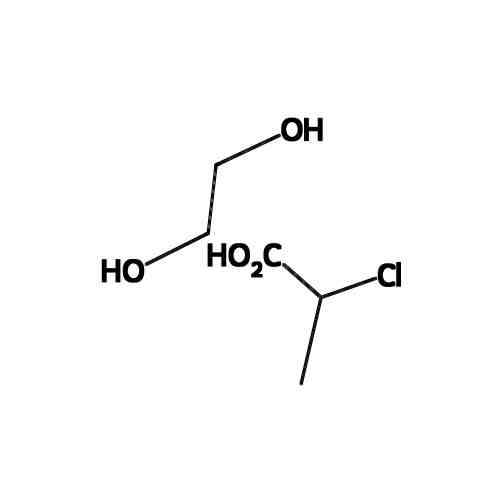 CC(Cl)C(=O)O.OCCO